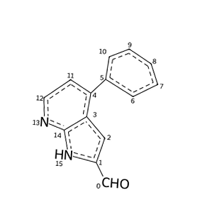 O=Cc1cc2c(-c3ccccc3)ccnc2[nH]1